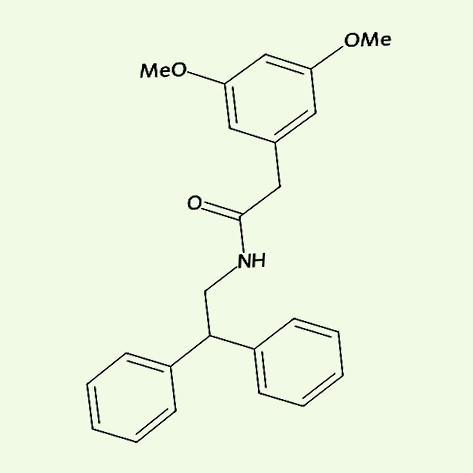 COc1cc(CC(=O)NCC(c2ccccc2)c2ccccc2)cc(OC)c1